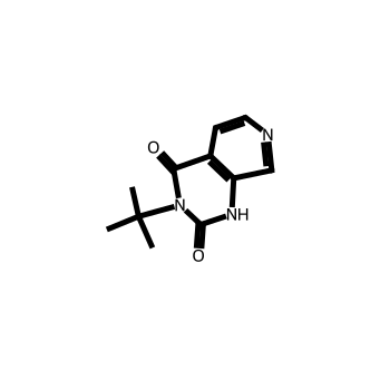 CC(C)(C)n1c(=O)[nH]c2cnccc2c1=O